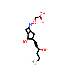 CCCC(O)C#CC1CC2C(=NOCC(=O)O)CC2C1O